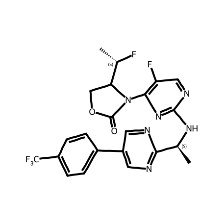 C[C@H](Nc1ncc(F)c(N2C(=O)OCC2[C@H](C)F)n1)c1ncc(-c2ccc(C(F)(F)F)cc2)cn1